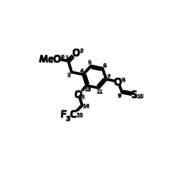 COC(=O)Cc1ccc(OC=S)cc1OCC(F)(F)F